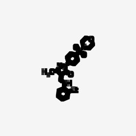 CCc1ccccc1N/C=C1\C(=O)N(c2ccc(S(=O)(=O)N3CCOCC3)cc2)N=C1C